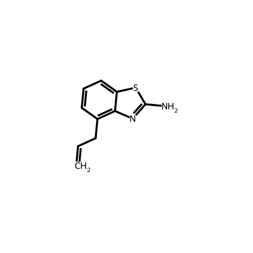 C=CCc1cccc2sc(N)nc12